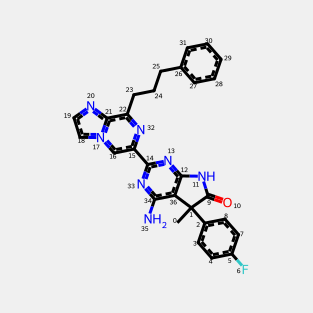 CC1(c2ccc(F)cc2)C(=O)Nc2nc(-c3cn4ccnc4c(CCCc4ccccc4)n3)nc(N)c21